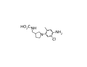 Cc1cc(N)c(Cl)cc1N1CCC(CNC(=O)O)C1